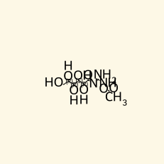 CC(=O)ONC(N)=NC(=O)[C@H](O)[C@@H](O)[C@H](O)[C@H](O)CO